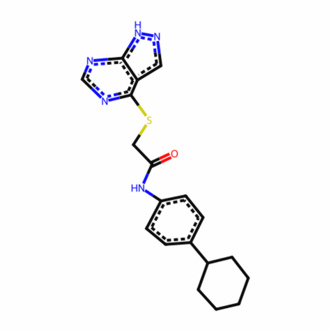 O=C(CSc1ncnc2[nH]ncc12)Nc1ccc(C2CCCCC2)cc1